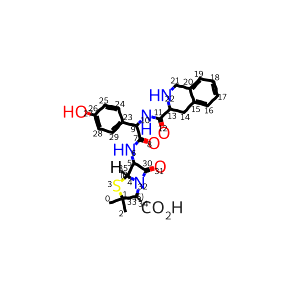 CC1(C)S[C@@H]2C(NC(=O)C(NC(=O)C3Cc4ccccc4CN3)c3ccc(O)cc3)C(=O)N2[C@H]1C(=O)O